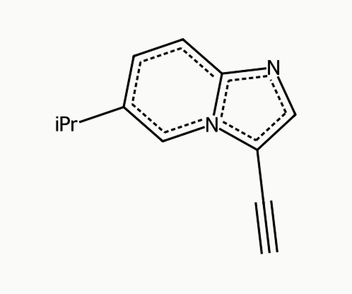 C#Cc1cnc2ccc(C(C)C)cn12